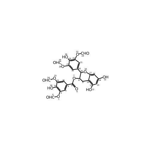 O=COc1cc(C(=O)OC2Cc3c(O)cc(O)cc3OC2c2cc(OC=O)c(O)c(OC=O)c2)cc(OC=O)c1O